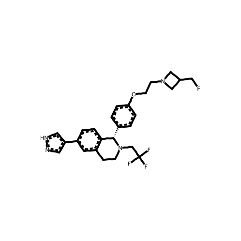 FCC1CN(CCOc2ccc([C@H]3c4ccc(-c5cn[nH]c5)cc4CCN3CC(F)(F)F)cc2)C1